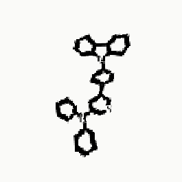 c1ccc(N(c2ccccc2)c2cncc(-c3ccc(-n4c5ccccc5c5ccccc54)cc3)c2)cc1